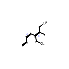 C=C/C=C\C(CCl)=C(\C)CBr